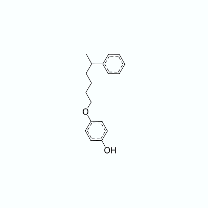 CC(CCCCOc1ccc(O)cc1)c1ccccc1